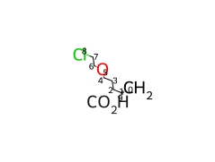 C=C(CCCOCCCl)C(=O)O